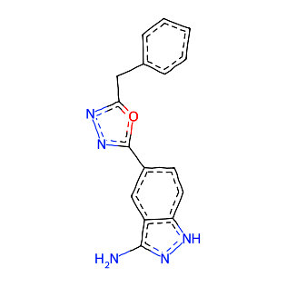 Nc1n[nH]c2ccc(-c3nnc(Cc4ccccc4)o3)cc12